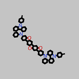 Cc1ccc(-n2c3ccccc3c3c(N(c4ccccc4)c4ccc5c(c4)oc4cc6c(cc45)oc4cc5c(cc46)oc4cc(N(c6ccccc6)c6cccc7c6c6ccccc6n7-c6ccc(C)cc6)ccc45)cccc32)cc1